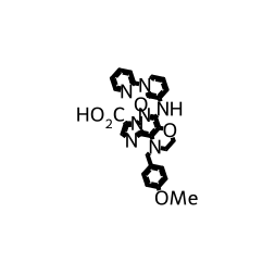 COc1ccc(CN2CCOc3c(Nc4cccn(-c5ccccn5)c4=O)nn4c(C(=O)O)cnc4c32)cc1